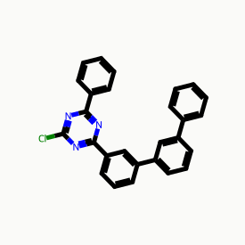 Clc1nc(-c2ccccc2)nc(-c2cccc(-c3cccc(-c4ccccc4)c3)c2)n1